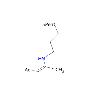 CCCCCCCCN/C(C)=C\C(C)=O